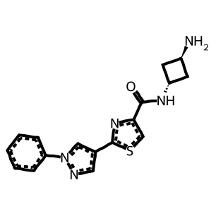 N[C@H]1C[C@H](NC(=O)c2csc(-c3cnn(-c4ccccc4)c3)n2)C1